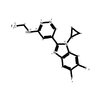 Fc1cc2nc(-c3cnnc(NCC(F)(F)F)c3)n(C3CC3)c2cc1F